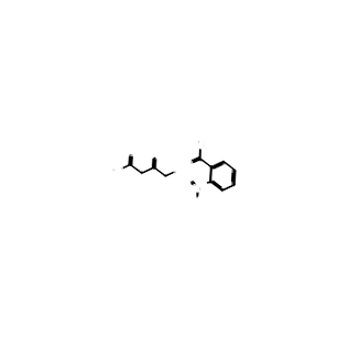 NC(=O)c1ccccc1[N+](=O)[O-].O=C(O)CC(=O)CCl